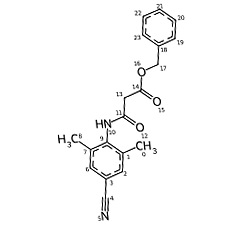 Cc1cc(C#N)cc(C)c1NC(=O)CC(=O)OCc1ccccc1